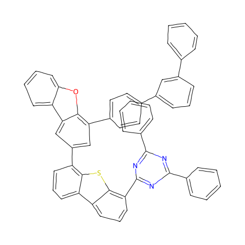 c1ccc(-c2cccc(-c3ccc(-c4cc(-c5cccc6c5sc5c(-c7nc(-c8ccccc8)nc(-c8ccccc8)n7)cccc56)cc5c4oc4ccccc45)cc3)c2)cc1